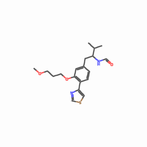 COCCCOc1cc(CC(NC=O)C(C)C)ccc1-c1cs[c]n1